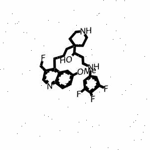 COc1ccc2ncc(CF)c(CCCC3(C(O)CCNc4cc(F)c(F)c(F)c4)CCNCC3)c2c1